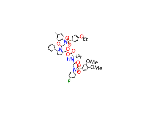 CCOc1ccc(S(=O)(=O)N(CC(=O)N2C(C(=O)OC(=O)[C@@H](NC(=O)CN(c3ccc(F)cc3)S(=O)(=O)c3ccc(OC)c(OC)c3)C(C)C)CCC2c2ccccc2)c2ccc(C)cc2)cc1